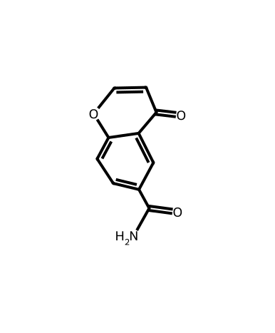 NC(=O)c1ccc2occc(=O)c2c1